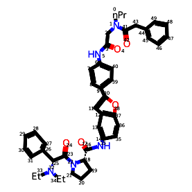 CCCN(CC(=O)Nc1ccc(-c2cc3cc(NC(=O)[C@@H]4CCCN4C(=O)[C@@H](c4ccccc4)N(CC)CC)ccc3o2)cc1)C(=O)Cc1ccccc1